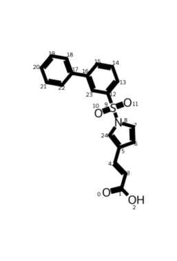 O=C(O)/C=C/c1ccn(S(=O)(=O)c2cccc(-c3ccccc3)c2)c1